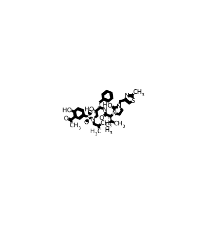 CC(=O)c1cc(S(=O)(=O)N(CC(C)C)C[C@H](O)[C@H](Cc2ccccc2)NC(=O)[C@H](C(C)C)N2CCN(Cc3csc(C)n3)C2=O)ccc1O